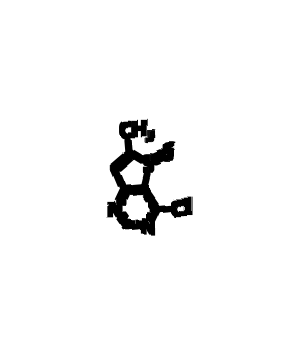 CC1=Cc2ncnc(Cl)c2S1=S